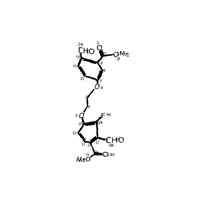 COC(=O)c1cc(OCCOc2ccc(C(=O)OC)c(C=O)c2F)ccc1C=O